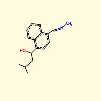 CC(C)CC(O)c1ccc(C=NN)c2ccccc12